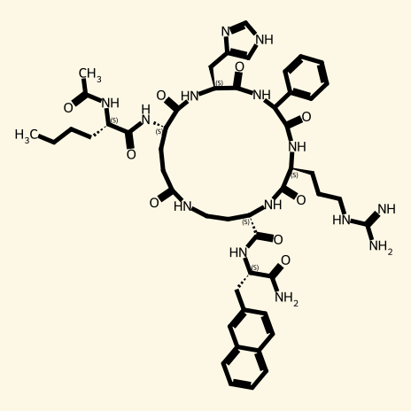 CCCC[C@H](NC(C)=O)C(=O)N[C@H]1CCC(=O)NCC[C@@H](C(=O)N[C@@H](Cc2ccc3ccccc3c2)C(N)=O)NC(=O)[C@H](CCCNC(=N)N)NC(=O)C(c2ccccc2)NC(=O)[C@H](Cc2c[nH]cn2)NC1=O